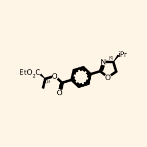 CCOC(=O)[C@H](C)OC(=O)c1ccc(C2=N[C@@H](C(C)C)CO2)cc1